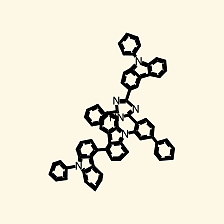 c1ccc(-c2ccc(C3=NC(c4ccc5c(c4)c4ccccc4n5-c4ccccc4)=NC(c4ccccc4)N3)c(-n3c4ccccc4c4c(-c5cccc6c5c5ccccc5n6-c5ccccc5)cccc43)c2)cc1